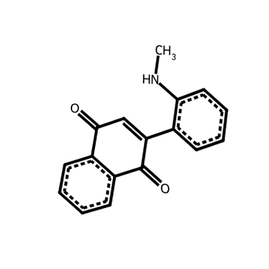 CNc1ccccc1C1=CC(=O)c2ccccc2C1=O